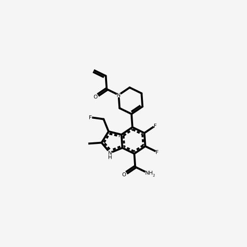 C=CC(=O)N1CCC=C(c2c(F)c(F)c(C(N)=O)c3[nH]c(C)c(CF)c23)C1